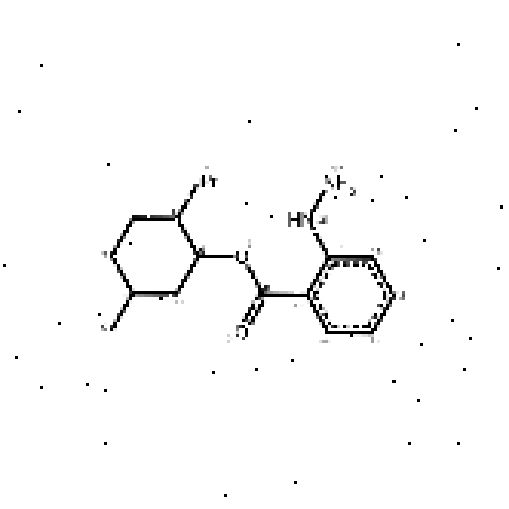 CC1CCC(C(C)C)C(OC(=O)c2ccccc2NN)C1